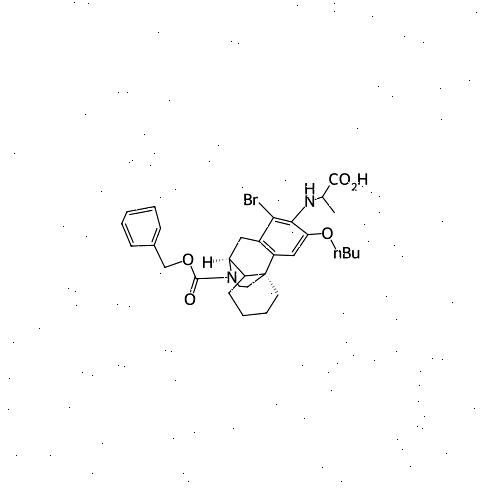 CCCCOc1cc2c(c(Br)c1NC(C)C(=O)O)C[C@H]1C3CCCC[C@@]23CCN1C(=O)OCc1ccccc1